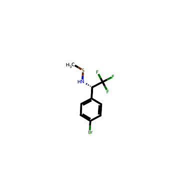 CSN[C@@H](c1ccc(Br)cc1)C(F)(F)F